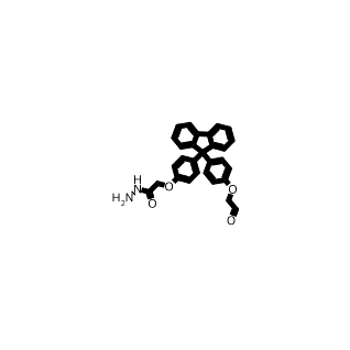 NNC(=O)COc1ccc(C2(c3ccc(OCC=O)cc3)c3ccccc3-c3ccccc32)cc1